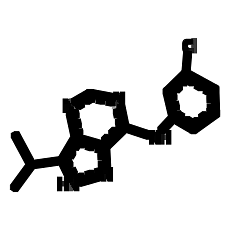 CC(C)c1[nH]nc2c(Nc3cccc(Cl)c3)ncnc12